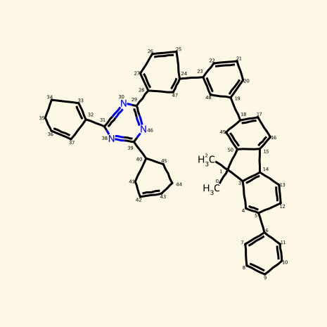 CC1(C)c2cc(-c3ccccc3)ccc2-c2ccc(-c3cccc(-c4cccc(-c5nc(C6=CCCC=C6)nc(C6CC=CCC6)n5)c4)c3)cc21